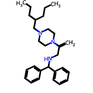 C=C(CNC(c1ccccc1)c1ccccc1)N1CCN(CC(CCC)CCC)CC1